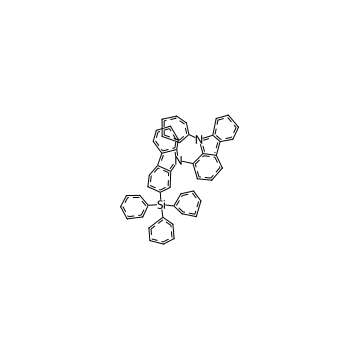 c1ccc(-n2c3ccccc3c3cccc(-n4c5ccccc5c5ccc([Si](c6ccccc6)(c6ccccc6)c6ccccc6)cc54)c32)cc1